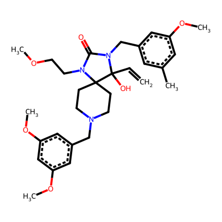 C=CC1(O)N(Cc2cc(C)cc(OC)c2)C(=O)N(CCOC)C12CCN(Cc1cc(OC)cc(OC)c1)CC2